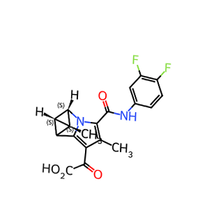 Cc1c(C(=O)C(=O)O)c2n(c1C(=O)Nc1ccc(F)c(F)c1)[C@H]1[C@H]3C2[C@]31C